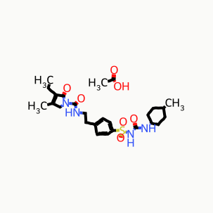 CC(=O)O.CCC1=C(C)CN(C(=O)NCCc2ccc(S(=O)(=O)NC(=O)NC3CCC(C)CC3)cc2)C1=O